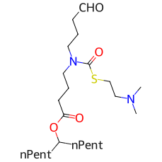 CCCCCC(CCCCC)OC(=O)CCCN(CCCC=O)C(=O)SCCN(C)C